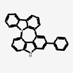 c1ccc(-c2cc3[nH]c4cccc5c4c3c(c2)c2cccc3c4ccccc4n5c23)cc1